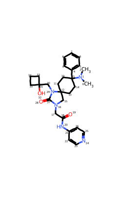 CN(C)C1(c2ccccc2)CCC2(CC1)CN(CC(=O)Nc1ccncc1)C(=O)N2CC1(O)CCC1